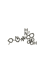 Cc1cccc(-c2ccc(/N=N/c3cc(S(=O)(=O)O)c4ccccc4c3N)cn2)c1